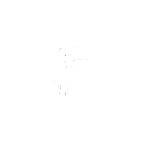 O=Cc1c(O)cc(N2CCN(C(=O)O)CC2)cc1F